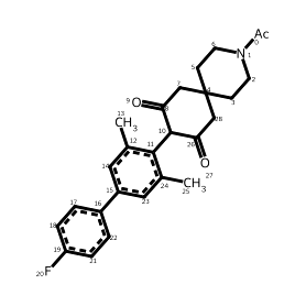 CC(=O)N1CCC2(CC1)CC(=O)C(c1c(C)cc(-c3ccc(F)cc3)cc1C)C(=O)C2